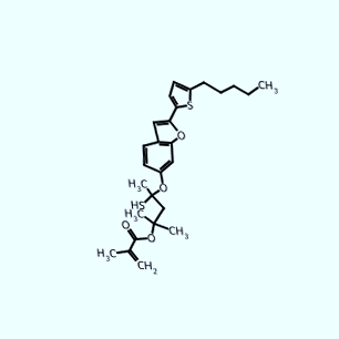 C=C(C)C(=O)OC(C)(C)CC(C)(S)Oc1ccc2cc(-c3ccc(CCCCC)s3)oc2c1